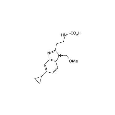 COCn1c(CCNC(=O)O)nc2cc(C3CC3)ccc21